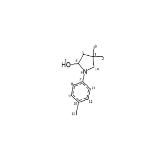 CC1(C)CC(O)N(c2ccc(I)cc2)C1